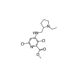 CCN1CCCC1CNc1cc(Cl)nc(C(=O)OC)c1Cl